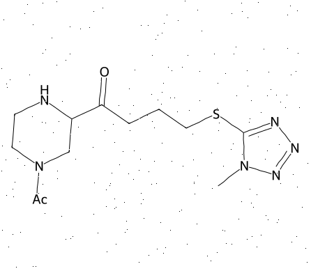 CC(=O)N1CCNC(C(=O)CCCSc2nnnn2C)C1